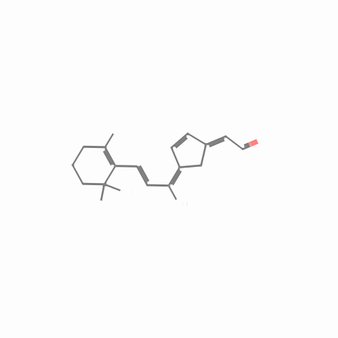 CC(C=CC1=C(C)CCCC1(C)C)=C1C=CC(=CC=O)C1